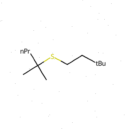 CCCC(C)(C)SCCC(C)(C)C